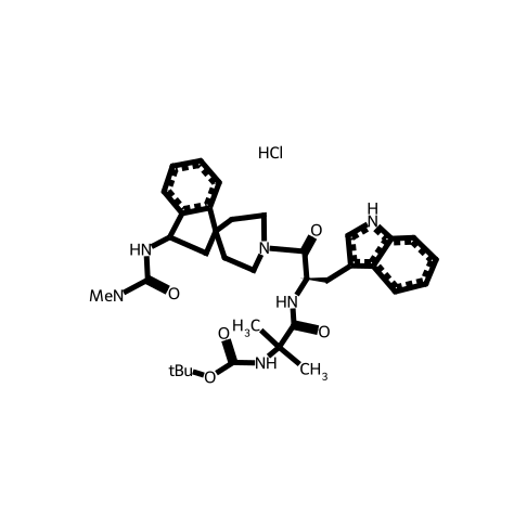 CNC(=O)NC1CC2(CCN(C(=O)[C@@H](Cc3c[nH]c4ccccc34)NC(=O)C(C)(C)NC(=O)OC(C)(C)C)CC2)c2ccccc21.Cl